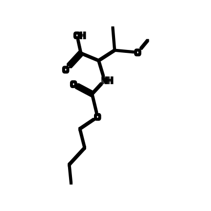 CCCCOC(=O)NC(C(=O)O)C(C)OC